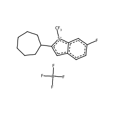 F[B-](F)(F)F.Fc1ccc2cc(C3CCCCCC3)[s+](C(F)(F)F)c2c1